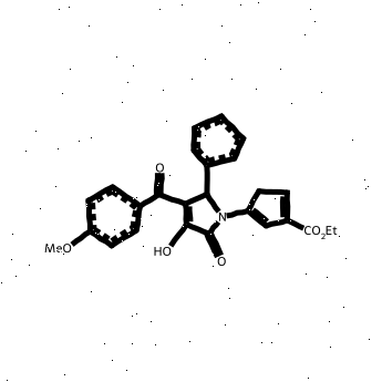 CCOC(=O)C1=CCC(N2C(=O)C(O)=C(C(=O)c3ccc(OC)cc3)C2c2ccccc2)=C1